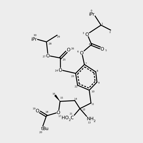 CC(C)C(C)OC(=O)Oc1ccc(CC(N)(C[C@H](C)OC(=O)C(C)(C)C)C(=O)O)cc1OC(=O)OC(C)C(C)C